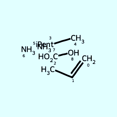 C=CC.CCCC(C)C.N.N.O=C(O)O